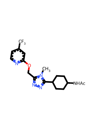 CC(=O)NC1CCC(c2nnc(COc3cc(C(F)(F)F)ccn3)n2C)CC1